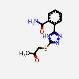 CC(=O)CSc1nnc(-c2ccccc2C(N)=O)[nH]1